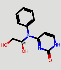 O=c1nc(N(c2ccccc2)[C@@H](O)CO)cc[nH]1